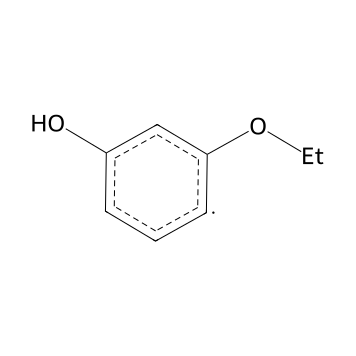 CCOc1[c]ccc(O)c1